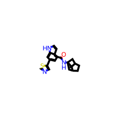 CC12C3CCC1CC2(NC(=O)c1cc(-c2cncs2)cc2[nH]ccc12)C3